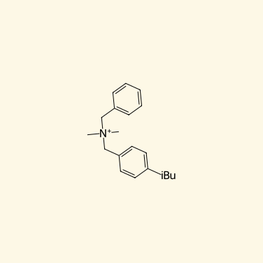 CCC(C)c1ccc(C[N+](C)(C)Cc2ccccc2)cc1